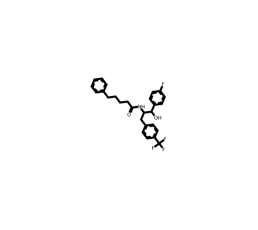 O=C(CCCCc1ccccc1)NC(Cc1ccc(C(F)(F)F)cc1)C(O)c1ccc(F)cc1